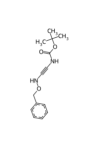 CC(C)(C)OC(=O)NC#CNOCc1ccccc1